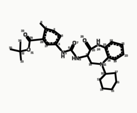 Cc1ccc(NC(=O)NC2CN(C3CCCCC3)c3ccccc3NC2=O)cc1C(=O)OC(C)(C)C